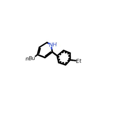 CCCCC1=CCNC(c2ccc(CC)cc2)=C1